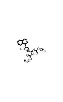 COC(=O)N=C(NCC(O)c1cccc2ccccc12)NC(=O)OC